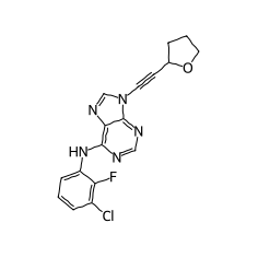 Fc1c(Cl)cccc1Nc1ncnc2c1ncn2C#CC1CCCO1